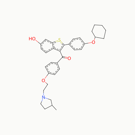 CC1CCN(CCOc2ccc(C(=O)c3c(-c4ccc(OC5CCCCC5)cc4)sc4cc(O)ccc34)cc2)C1